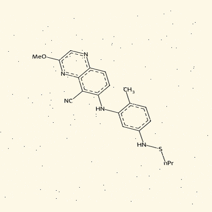 CCCSNc1ccc(C)c(Nc2ccc3ncc(OC)nc3c2C#N)c1